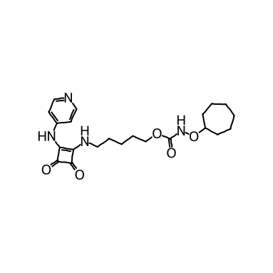 O=C(NOC1CCCCCC1)OCCCCCNc1c(Nc2ccncc2)c(=O)c1=O